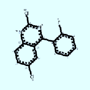 Fc1ccccc1-c1nc(Cl)nc2ccc(Cl)cc12